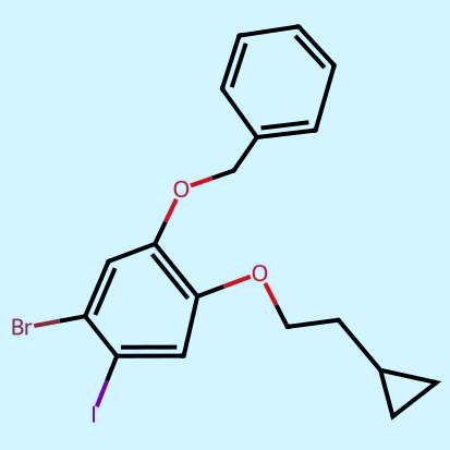 Brc1cc(OCc2ccccc2)c(OCCC2CC2)cc1I